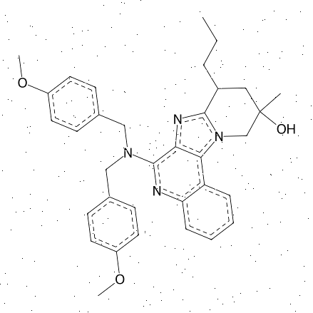 CCCC1CC(C)(O)Cn2c1nc1c(N(Cc3ccc(OC)cc3)Cc3ccc(OC)cc3)nc3ccccc3c12